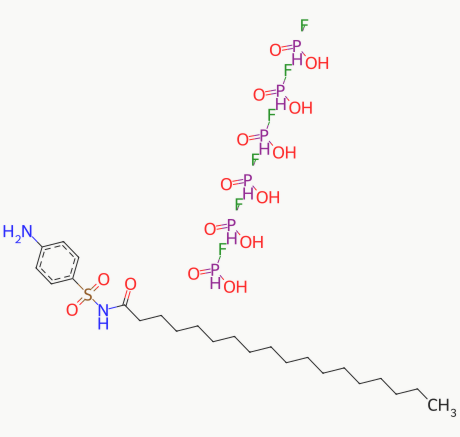 CCCCCCCCCCCCCCCCCC(=O)NS(=O)(=O)c1ccc(N)cc1.O=[PH](O)F.O=[PH](O)F.O=[PH](O)F.O=[PH](O)F.O=[PH](O)F.O=[PH](O)F